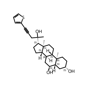 CC(O)(CC#Cc1cccs1)[C@H]1CC[C@H]2[C@@H]3C[C@H](O)[C@H]4C[C@@H](O)CC[C@]4(C)[C@H]3CC[C@]12C